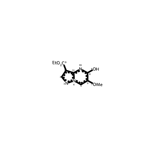 CCOC(=O)c1cnn2cc(OC)c(O)nc12